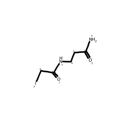 NC(=O)CCNC(=O)CI